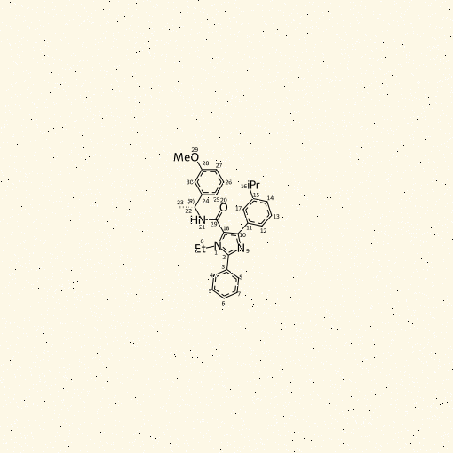 CCn1c(-c2ccccc2)nc(-c2cccc(C(C)C)c2)c1C(=O)N[C@H](C)c1cccc(OC)c1